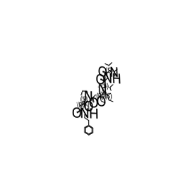 CC[C@H](C)[C@@H]([C@@H](CC(=O)N1CCC[C@H]1[C@H](OC)[C@@H](C)C(=O)NCCc1ccccc1)OC)N(C)[C@H](C(=O)NC(=O)[C@H](C(C)C)N(C)C)C(C)C